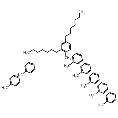 CCCCCCCc1ccc(C)c(CCCCCCC)c1.Cc1ccccc1.Cc1ccccc1.Cc1ccccc1.Cc1ccccc1.Cc1ccccc1.Cc1ccccc1.Cc1ccccc1